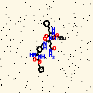 CC(C)(C)OC(=O)N[C@H](CCc1ccccc1)C(=O)N[C@@H](CCC(N)=O)C(=O)NCc1ccc(C(=N)NC(=O)OCc2ccccc2)cc1